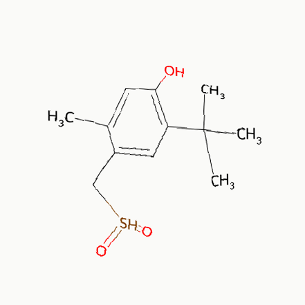 Cc1cc(O)c(C(C)(C)C)cc1C[SH](=O)=O